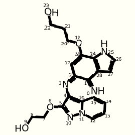 N=C1/C(=N\c2c(OCCO)nn3ccccc23)C=C(OCCCO)c2[nH]ccc21